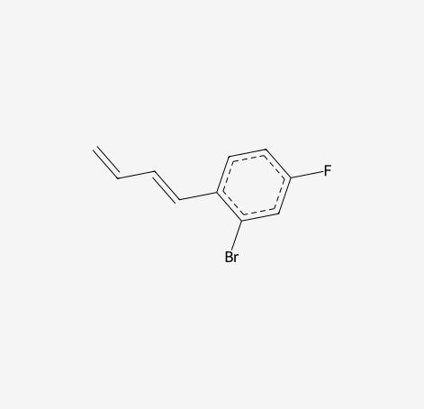 C=CC=Cc1ccc(F)cc1Br